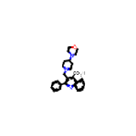 O=C(O)c1c(CN2CCC(N3CCOCC3)CC2)c(-c2ccccc2)nc2ccccc12